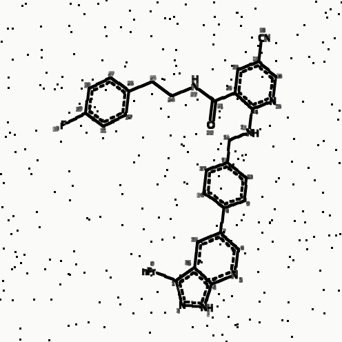 CCCc1n[nH]c2ncc(-c3ccc(CNc4ncc(C#N)cc4C(=O)NCCc4ccc(F)cc4)cc3)cc12